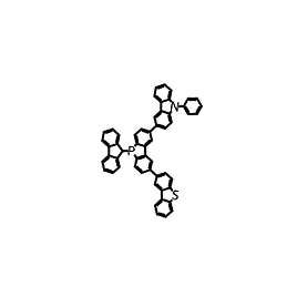 c1ccc(-n2c3ccccc3c3cc(-c4ccc5c(c4)c4cc(-c6ccc7sc8ccccc8c7c6)ccc4p5C4c5ccccc5-c5ccccc54)ccc32)cc1